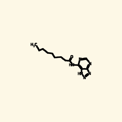 CCCCCCCCC(=O)Nc1ncnc2nn[nH]c12